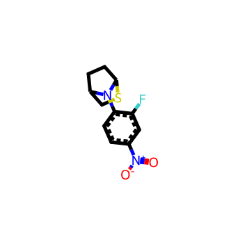 O=[N+]([O-])c1ccc(N2C3CCC2SC3)c(F)c1